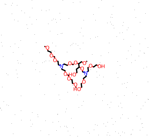 COCCOCOCCN(CCOCOCCOC)CCOCOC(COC)C(CCO)OCN(CCOCCO)CCOCCO